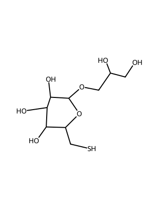 OCC(O)COC1OC(CS)C(O)C(O)C1O